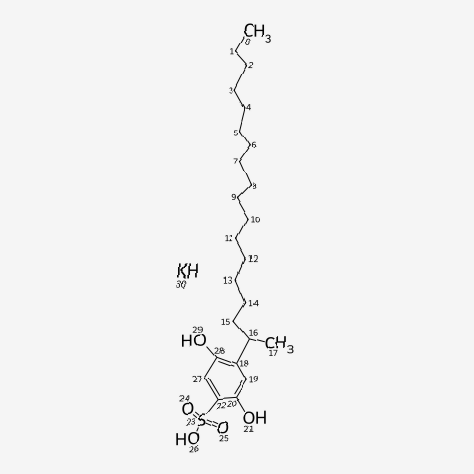 CCCCCCCCCCCCCCCCC(C)c1cc(O)c(S(=O)(=O)O)cc1O.[KH]